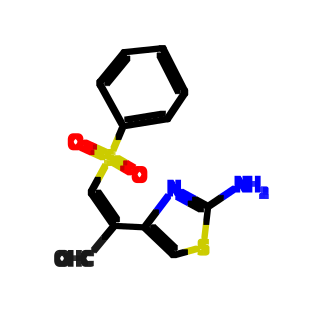 Nc1nc(C(C=O)=CS(=O)(=O)c2ccccc2)cs1